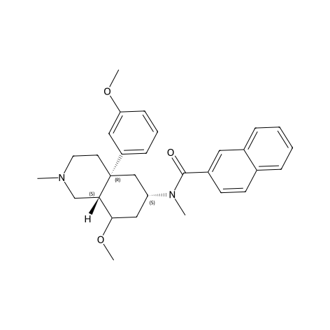 COc1cccc([C@@]23CCN(C)C[C@H]2C(OC)C[C@@H](N(C)C(=O)c2ccc4ccccc4c2)C3)c1